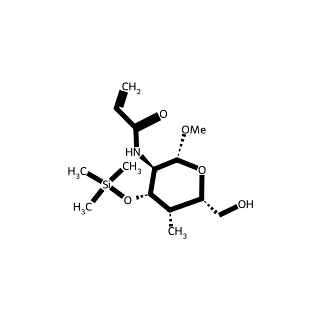 C=CC(=O)N[C@H]1[C@H](OC)O[C@H](CO)[C@H](C)[C@@H]1O[Si](C)(C)C